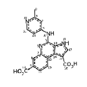 Cc1cc(Nc2nc3cc(C(=O)O)ccc3c3c(C(=O)O)c[nH]c23)ccn1